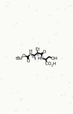 CC[C@@H](C(=O)NC(CO)C(=O)O)[C@@H](C)NC(=O)OC(C)(C)C